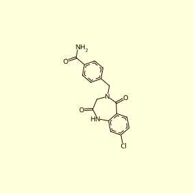 NC(=O)c1ccc(CN2CC(=O)Nc3cc(Cl)ccc3C2=O)cc1